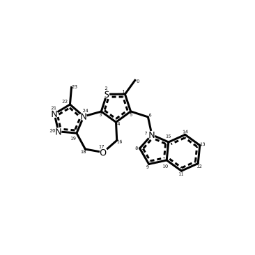 Cc1sc2c(c1Cn1ccc3ccccc31)COCc1nnc(C)n1-2